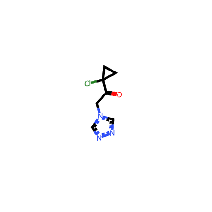 O=C(Cn1cnnc1)C1(Cl)CC1